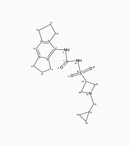 O=C(Nc1c2c(cc3c1CCC3)CCC2)NS(=O)(=O)C1CN(CC2CC2)C1